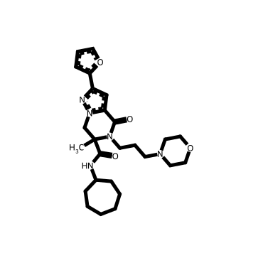 CC1(C(=O)NC2CCCCCC2)Cn2nc(-c3ccco3)cc2C(=O)N1CCCN1CCOCC1